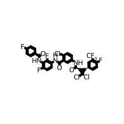 O=C(Nc1c(F)ccc(NC(=O)c2cc(NC(=O)[C@H]3[C@H](c4ccc(F)c(C(F)(F)F)c4)C3(Cl)Cl)ccc2Cl)c1F)c1ccc(F)cc1